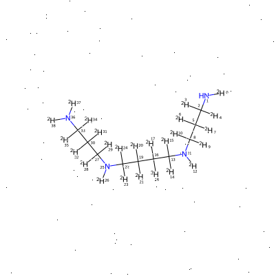 [2H]NC([2H])([2H])C([2H])([2H])C([2H])([2H])N([2H])C([2H])([2H])C([2H])([2H])C([2H])([2H])C([2H])([2H])N([2H])C([2H])([2H])C([2H])([2H])C([2H])([2H])N([2H])[2H]